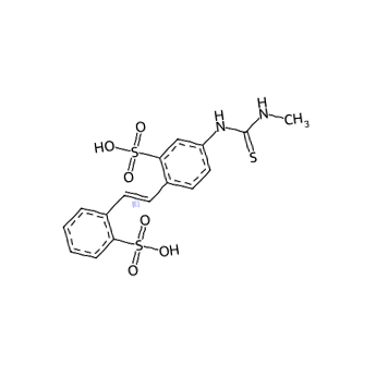 CNC(=S)Nc1ccc(/C=C/c2ccccc2S(=O)(=O)O)c(S(=O)(=O)O)c1